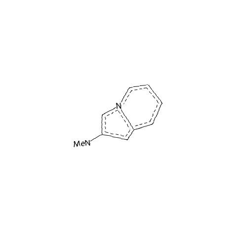 CNc1cc2ccccn2c1